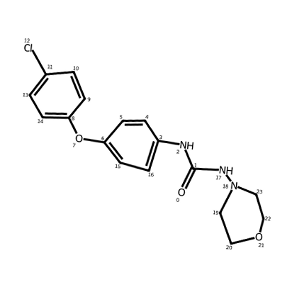 O=C(Nc1ccc(Oc2ccc(Cl)cc2)cc1)NN1CCOCC1